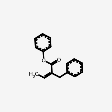 CC=C(Cc1ccccc1)C(=O)Oc1ccccc1